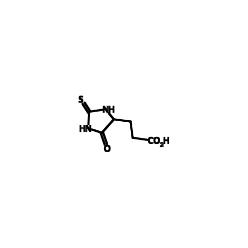 O=C(O)CCC1NC(=S)NC1=O